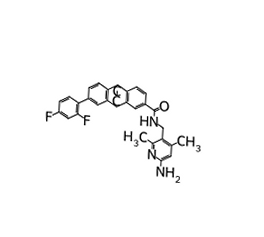 Cc1cc(N)nc(C)c1CNC(=O)c1ccc2c(c1)C1CCC2c2ccc(-c3ccc(F)cc3F)cc21